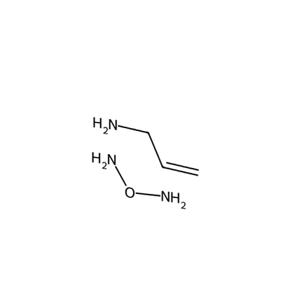 C=CCN.NON